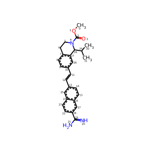 COC(=O)N1CCc2ccc(C=Cc3ccc4cc(C(=N)N)ccc4c3)cc2C1C(C)C